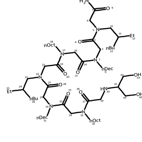 CCCCCCCCCCN(CC(=O)N(CC(N)=O)CC(CC)CCCC)C(=O)CN(CCCCCCCC)C(=O)CN(CC(CC)CCCC)C(=O)CN(CCCCCCCCCC)C(=O)CN(CCCCCCCC)C(=O)CNC(CO)CO